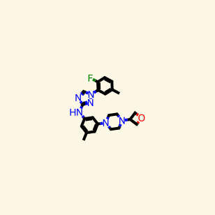 Cc1cc(Nc2ncn(-c3cc(C)ccc3F)n2)cc(N2CCN(C3COC3)CC2)c1